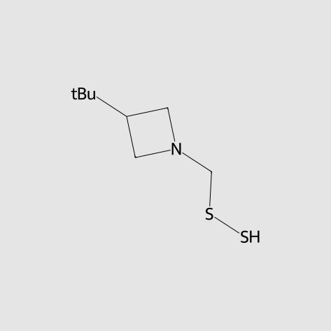 CC(C)(C)C1CN(CSS)C1